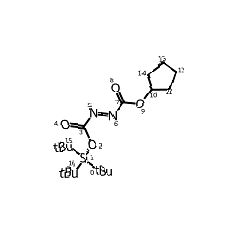 CC(C)(C)[Si](OC(=O)/N=N/C(=O)OC1CCCC1)(C(C)(C)C)C(C)(C)C